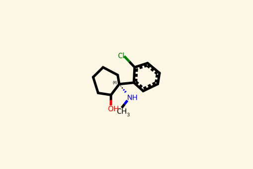 CN[C@@]1(c2ccccc2Cl)CCCCC1O